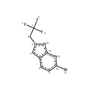 FC(F)(F)Cn1cc2ccc(Br)nc2n1